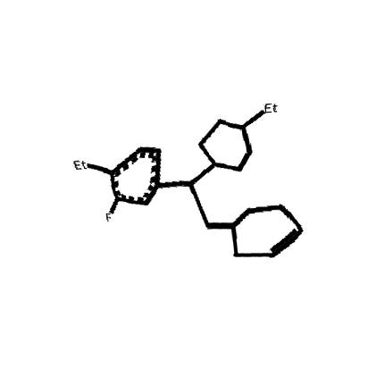 CCc1ccc(C(CC2CC=CCC2)C2CCC(CC)CC2)cc1F